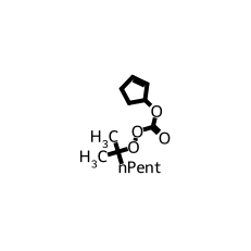 CCCCCC(C)(C)OOC(=O)OC1C=CCC1